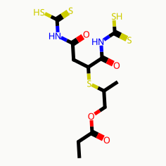 CCC(=O)OCC(C)SC(CC(=O)NC(=S)S)C(=O)NC(=S)S